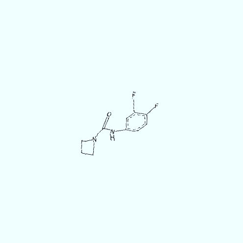 O=C(Nc1ccc(F)c(F)c1)N1CCC1